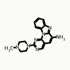 CN1CCN(c2ncc3cc(N)c4nc5ccccc5n4c3n2)CC1